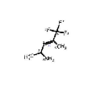 C/C(=C\C(C)N)C(F)(F)F